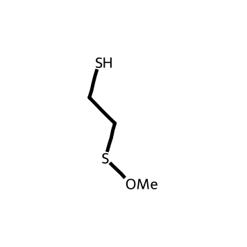 COSCCS